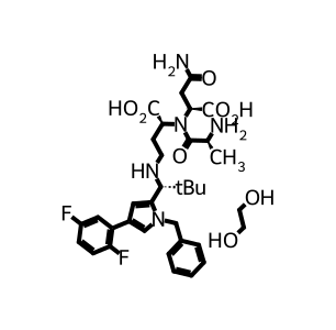 C[C@H](N)C(=O)N([C@@H](CCN[C@@H](c1cc(-c2cc(F)ccc2F)cn1Cc1ccccc1)C(C)(C)C)C(=O)O)[C@@H](CC(N)=O)C(=O)O.OCCO